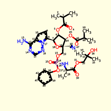 CC(C)C(=O)O[C@H]1[C@H](c2ccc3c(N)ncnn23)O[C@](C#N)(CO[P@@](=O)(N[C@@H](C)C(=O)OCC(C)(C)O)Oc2ccccc2)[C@H]1OC(=O)C(C)C